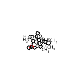 Cc1cc2c3c(c1)N(c1cc4c(cc1C)C(C)(C)CCC4(C)C)c1cc4c(cc1B3N(c1ccc(C(C)(C)C)cc1-c1ccccc1)c1c-2ccc2c1sc1ccccc12)Oc1ccccc1O4